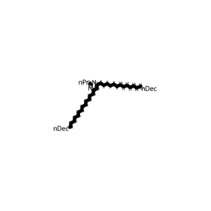 [CH2]CCc1nc(CCCCCCCCCCCCCCCCCCCCCCC)cc(CCCCCCCCCCCCCCCCCCCCCCC)n1